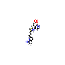 O=C(O)CC(Cc1ncc(CCCc2ccc3c(n2)NCCC3)s1)c1cccnc1